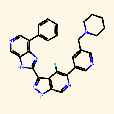 Fc1c(-c2cncc(CN3CCCCC3)c2)ncc2[nH]nc(-c3nc4c(-c5ccccc5)cncc4[nH]3)c12